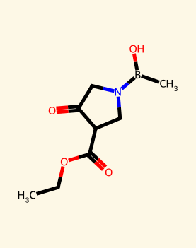 CCOC(=O)C1CN(B(C)O)CC1=O